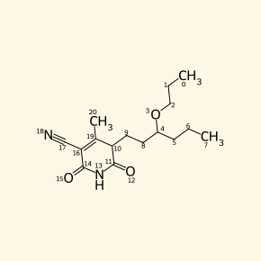 CCCOC(CCC)CCC1C(=O)NC(=O)C(C#N)=C1C